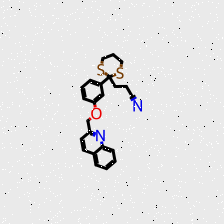 N#CCCC1(c2cccc(OCc3ccc4ccccc4n3)c2)SCCCS1